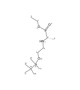 CCOC(=O)[C@H](C)NCCO[Si](C)(C)C(C)(C)C